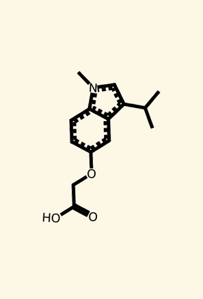 CC(C)c1cn(C)c2ccc(OCC(=O)O)cc12